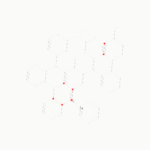 CC(C)(C)c1ccc(-c2ccccc2N2c3cc(N(c4ccccc4)c4ccccc4)cc4c3B3c5c2cccc5[Si](C)(C)c2cccc(c23)N4c2ccccc2-c2ccc(C(C)(C)C)cc2)cc1